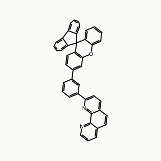 c1cc(-c2ccc3c(c2)Oc2ccccc2C32c3ccccc3-c3ccccc32)cc(-c2ccc3ccc4cccnc4c3n2)c1